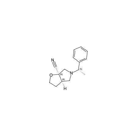 C[C@@H](c1ccccc1)N1C[C@H]2CCO[C@@]2(C#N)C1